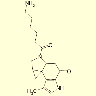 Cc1c[nH]c2c1C13CC1CN(C(=O)CCCCCN)C3=CC2=O